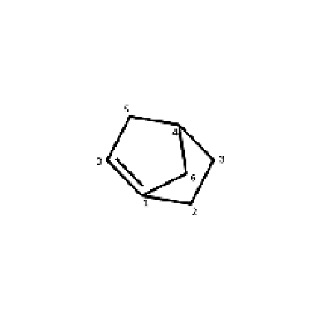 C1=C2CCC(C1)C2